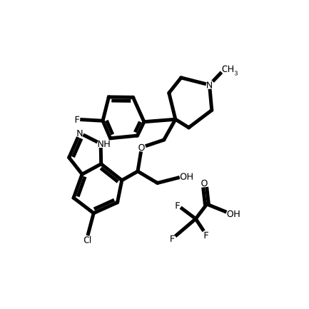 CN1CCC(COC(CO)c2cc(Cl)cc3cn[nH]c23)(c2ccc(F)cc2)CC1.O=C(O)C(F)(F)F